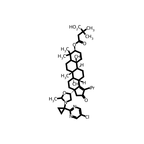 CC(C)C1=C2[C@H]3CC[C@@H]4[C@@]5(C)CC[C@H](OC(=O)CC(C)(C)C(=O)O)C(C)(C)C5CC[C@@]4(C)[C@]3(C)CCC2([C@@H]2CN(C3(c4ncc(Cl)cn4)CC3)C(C)O2)CC1=O